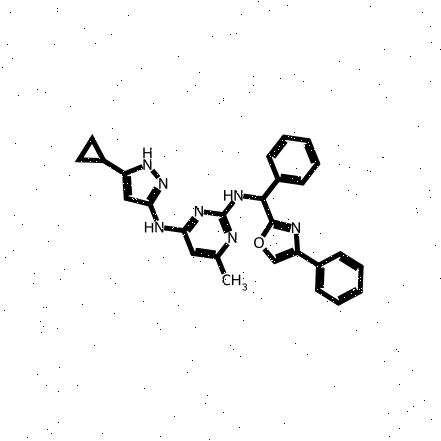 Cc1cc(Nc2cc(C3CC3)[nH]n2)nc(NC(c2ccccc2)c2nc(-c3ccccc3)co2)n1